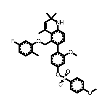 COc1ccc(S(=O)(=O)Oc2ccc(-c3ccc4c(c3COc3cc(F)ccc3C)C(C)=CC(C)(C)N4)c(OC)c2)cc1